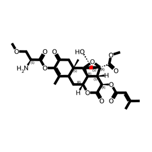 COC[C@H](N)C(=O)OC1=C(C)C2C[C@H]3OC(=O)[C@H](OC(=O)C=C(C)C)[C@@H]4[C@]35CO[C@]4(C(=O)OC)C[C@H](O)C5[C@@]2(C)CC1=O